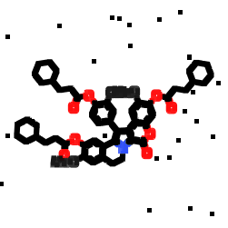 COc1cc(-c2c3n(c4c(=O)oc5cc(OC(=O)CCC6CCCCC6)c(OC)cc5c24)CCc2cc(OC)c(OC(=O)CCC4CCCCC4)cc2-3)ccc1OC(=O)CCC1CCCCC1